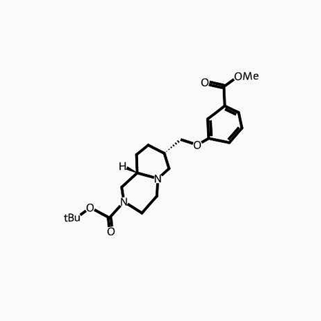 COC(=O)c1cccc(OC[C@H]2CC[C@H]3CN(C(=O)OC(C)(C)C)CCN3C2)c1